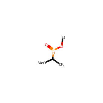 CCO[PH](=O)C(OC)C(F)(F)F